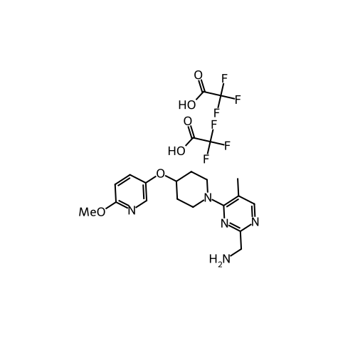 COc1ccc(OC2CCN(c3nc(CN)ncc3C)CC2)cn1.O=C(O)C(F)(F)F.O=C(O)C(F)(F)F